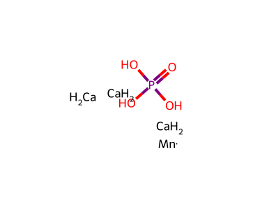 O=P(O)(O)O.[CaH2].[CaH2].[CaH2].[Mn]